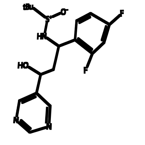 CC(C)(C)[S+]([O-])NC(CC(O)c1cncnc1)c1ccc(F)cc1F